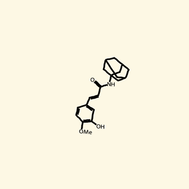 COc1ccc(C=CC(=O)NC23CC4CC(CC(C4)C2)C3)cc1O